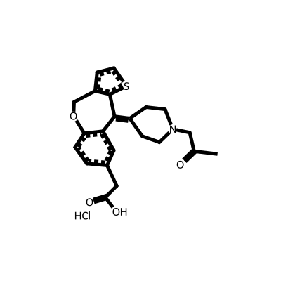 CC(=O)CN1CCC(=C2c3cc(CC(=O)O)ccc3OCc3ccsc32)CC1.Cl